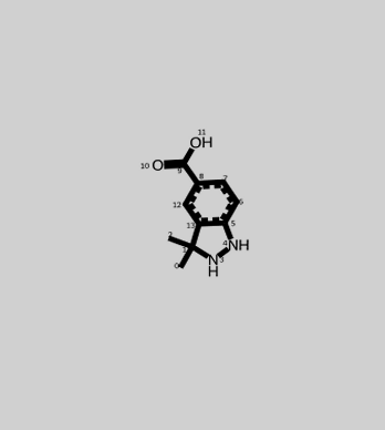 CC1(C)NNc2ccc(C(=O)O)cc21